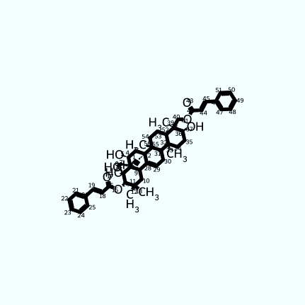 C#C[C@@]12C[C@@H](O)[C@]3(CO)C(CC(C)(C)[C@@H](OC(=O)/C=C/c4ccccc4)[C@@H]3O)C1=CCC1[C@@]3(C)CC[C@H](O)[C@](C)(COC(=O)/C=C/c4ccccc4)C3CC[C@]12C